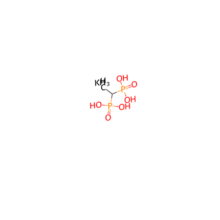 CC(P(=O)(O)O)P(=O)(O)O.[KH]